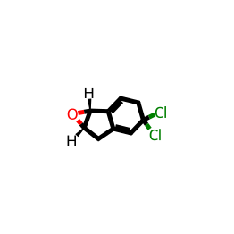 ClC1(Cl)C=C2C[C@@H]3O[C@@H]3C2=CC1